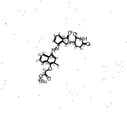 Cc1cc(/N=N/c2cccc3c2CN(C2CCC(=O)NC2=O)C3=O)c2ccccc2c1OCC(=O)OC(C)(C)C